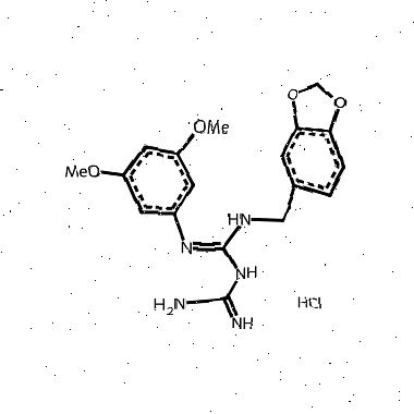 COc1cc(N=C(NCc2ccc3c(c2)OCO3)NC(=N)N)cc(OC)c1.Cl